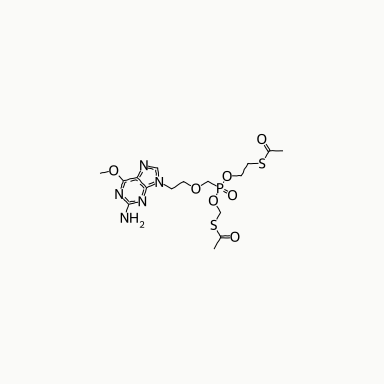 COc1nc(N)nc2c1ncn2CCOCP(=O)(OCCSC(C)=O)OCSC(C)=O